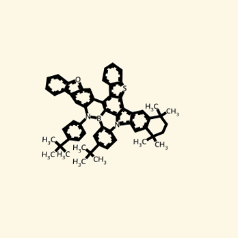 CC(C)(C)c1ccc(N2B3c4cc(C(C)(C)C)ccc4-n4c5cc6c(cc5c5c7sc8ccccc8c7c(c3c54)-c3cc4oc5ccccc5c4cc32)C(C)(C)CCC6(C)C)cc1